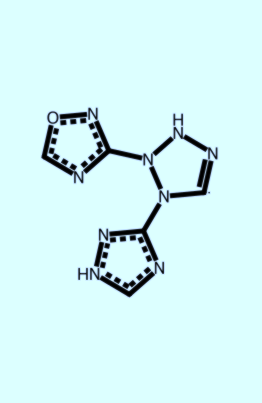 [C]1=NNN(c2ncon2)N1c1nc[nH]n1